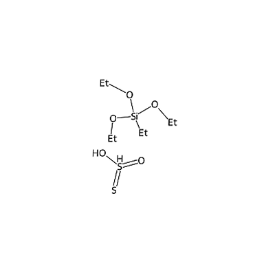 CCO[Si](CC)(OCC)OCC.O=[SH](O)=S